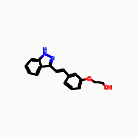 OCCOc1cccc(C=Cc2n[nH]c3ccccc23)c1